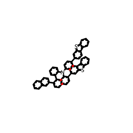 c1ccc(-c2ccccc2N(c2ccc(-c3ccc4c(c3)sc3ccccc34)cc2)c2ccccc2-c2ccc3c(c2)sc2ccccc23)c(-c2ccc3ccccc3c2)c1